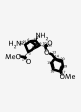 COC(=O)[C@H]1C2CC([C@@H](N)[C@@H]2C(=O)OCc2ccc(OC)cc2)[C@H]1N